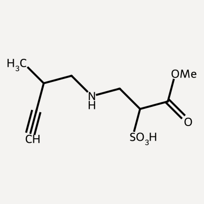 C#CC(C)CNCC(C(=O)OC)S(=O)(=O)O